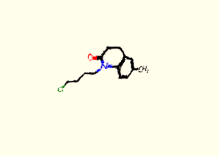 Cc1ccc2c(c1)CCC(=O)N2CCCCCl